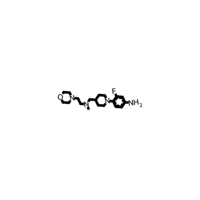 CN(CCN1CCOCC1)CC1CCN(c2ccc(N)cc2F)CC1